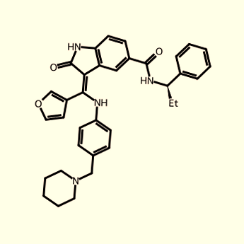 CC[C@@H](NC(=O)c1ccc2c(c1)C(=C(Nc1ccc(CN3CCCCC3)cc1)c1ccoc1)C(=O)N2)c1ccccc1